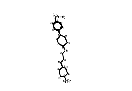 CCCCCc1ccc(C2CCC(OCCCC3CCC(CCC)CC3)CC2)cc1